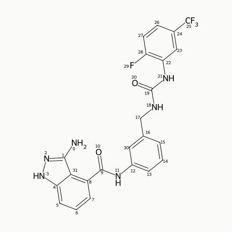 Nc1n[nH]c2cccc(C(=O)Nc3cccc(CNC(=O)Nc4cc(C(F)(F)F)ccc4F)c3)c12